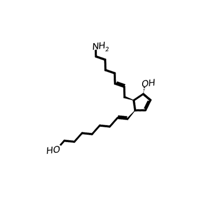 NCCCCC=CC[C@@H]1[C@H](C=CCCCCCCO)C=C[C@H]1O